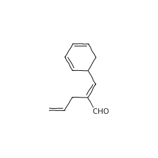 C=CCC(C=O)=CC1C=CC=CC1